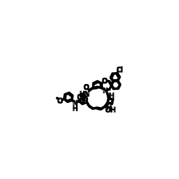 COc1cccc(NC(=O)C[C@@H]2CC/C=C/[C@H](O)[C@@H]3CC[C@H]3CN3C[C@@]4(CCCc5cc(Cl)ccc54)COc4ccc(cc43)C(=O)NS2(=O)=O)c1